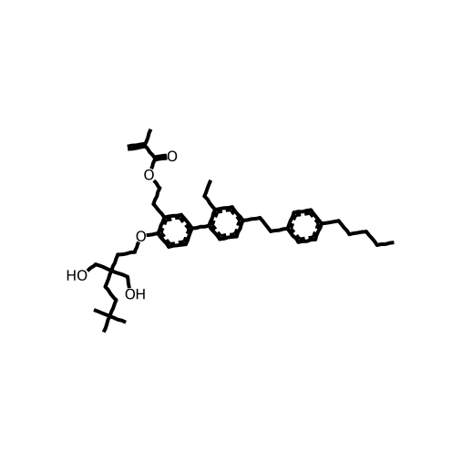 C=C(C)C(=O)OCCc1cc(-c2ccc(CCc3ccc(CCCCC)cc3)cc2CC)ccc1OCCC(CO)(CO)CCC(C)(C)C